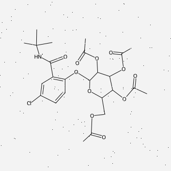 CC(=O)OCC1OC(Oc2ccc(Cl)cc2C(=O)NC(C)(C)C)C(OC(C)=O)C(OC(C)=O)C1OC(C)=O